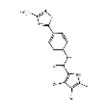 Cc1[nH]c(C(=O)Nc2ccc(-c3cc(C(=O)O)no3)cc2)c(Cl)c1Cl